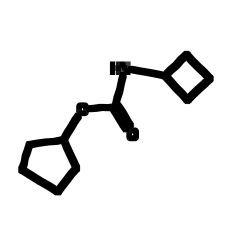 O=C(NC1CCC1)OC1CCCC1